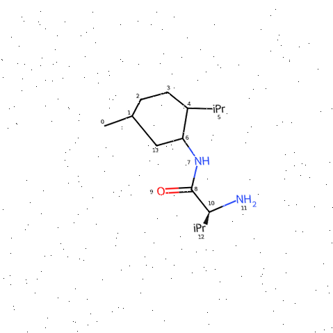 CC1CCC(C(C)C)C(NC(=O)[C@@H](N)C(C)C)C1